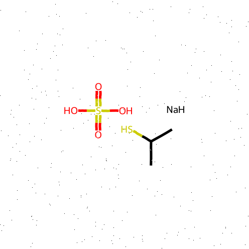 CC(C)S.O=S(=O)(O)O.[NaH]